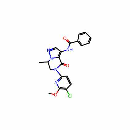 COc1nc(N2CC(C)n3ncc(NC(=O)c4ccccc4)c3C2=O)ccc1Cl